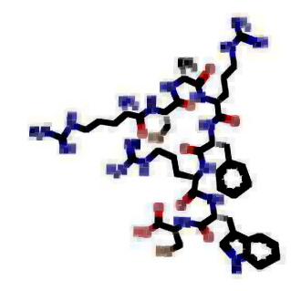 C[C@@H](NC(=O)[C@H](CS)NC(=O)[C@@H](N)CCCNC(=N)N)C(=O)N[C@@H](CCCNC(=N)N)C(=O)N[C@H](Cc1ccccc1)C(=O)N[C@H](CCCNC(=N)N)C(=O)N[C@H](Cc1c[nH]c2ccccc12)C(=O)N[C@@H](CS)C(=O)O